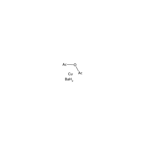 CC(=O)OC(C)=O.[BaH2].[Cu]